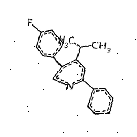 CC(C)c1cc(-c2ccccc2)ncc1-c1ccc(F)cc1